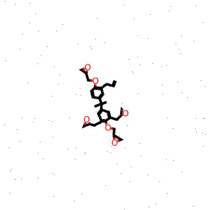 C=CCc1cc(C(C)(C)c2cc(CC3CO3)c(OCC3CO3)c(CC3CO3)c2)ccc1OCC1CO1